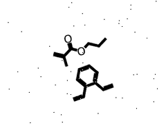 C=C(C)C(=O)OCCC.C=Cc1ccccc1C=C